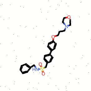 O=S(=O)(Cc1ccc(-c2ccc(OCCCN3CCOCC3)cc2)cc1)NCc1ccccc1